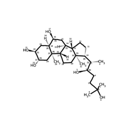 C[C@H]([C@H](O)CCC(C)(C)O)[C@H]1CC[C@H]2[C@@H]3C[C@H](O)[C@@H]4C[C@H](O)[C@@H](O)C[C@]4(C)[C@H]3CC[C@]12C